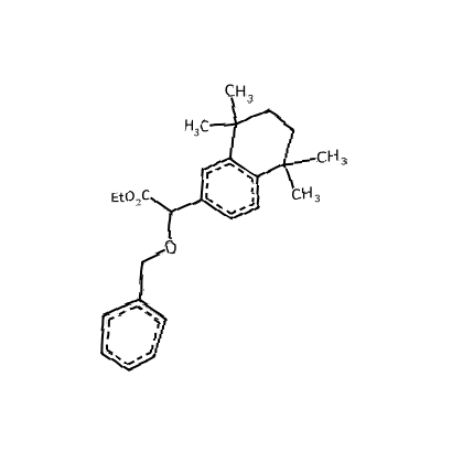 CCOC(=O)C(OCc1ccccc1)c1ccc2c(c1)C(C)(C)CCC2(C)C